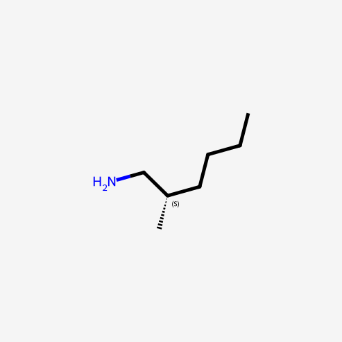 CCCC[C@H](C)CN